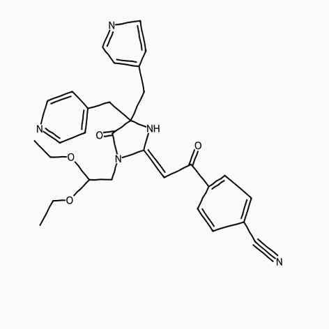 CCOC(CN1C(=O)C(Cc2ccncc2)(Cc2ccncc2)NC1=CC(=O)c1ccc(C#N)cc1)OCC